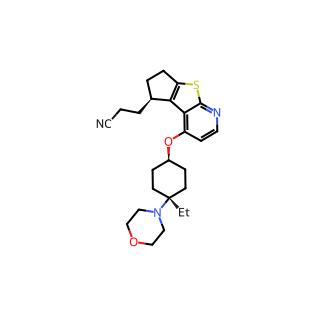 CC[C@]1(N2CCOCC2)CC[C@H](Oc2ccnc3sc4c(c23)[C@@H](CCC#N)CC4)CC1